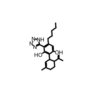 C=C(C)C1CCC(C)=CC1c1c(O)cc(CCCCC)c(-c2nnn[nH]2)c1O